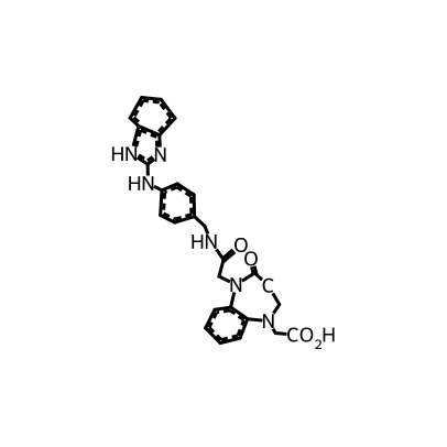 O=C(O)CN1CCC(=O)N(CC(=O)NCc2ccc(Nc3nc4ccccc4[nH]3)cc2)c2ccccc21